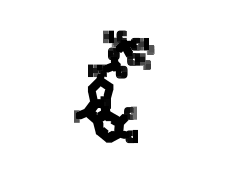 CC(C)(C)OC(=O)NC1Cc2c(I)c3ccc(Cl)c(Cl)c3n2C1